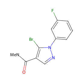 CNC(=O)c1cnn(-c2cccc(F)c2)c1Br